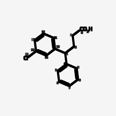 O=C(O)CCC(c1ccccc1)c1cccc(Cl)c1